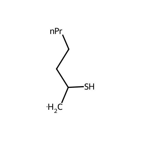 [CH2]C(S)CCCCC